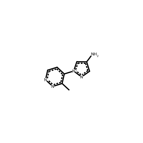 Cc1nnccc1-n1cc(N)cn1